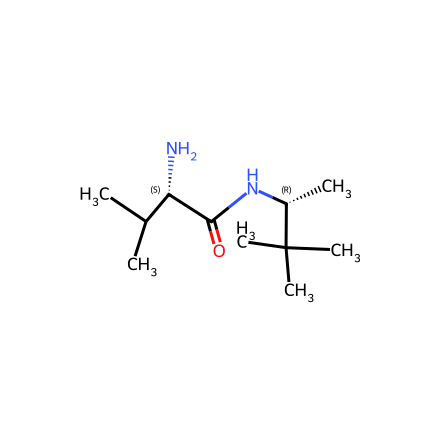 CC(C)[C@H](N)C(=O)N[C@H](C)C(C)(C)C